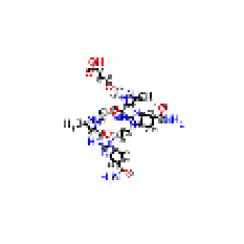 CCn1nc(C)cc1C(=O)Nc1nc2cc(C(N)=O)ccc2n1C/C=C/Cn1c(NC(=O)c2cc(C)nn2CCOCCCC(=O)O)nc2cc(C(N)=O)ccc21